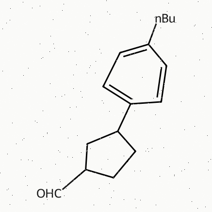 CCCCc1ccc(C2CCC(C=O)C2)cc1